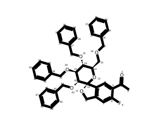 CC(=O)c1cc2c(cc1F)CO[C@]21O[C@H](COCc2ccccc2)[C@@H](OCc2ccccc2)[C@H](OCc2ccccc2)[C@H]1OCc1ccccc1